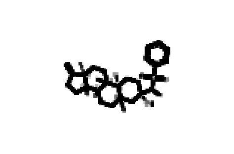 C=C1CC[C@H]2[C@@H]3CC[C@H]4C[C@](O)(C(F)S(=O)(=O)c5ccccc5)CC[C@@H]4[C@H]3CC[C@]12C